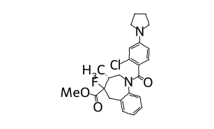 COC(=O)C1(F)Cc2ccccc2N(C(=O)c2ccc(N3CCCC3)cc2Cl)C[C@H]1C